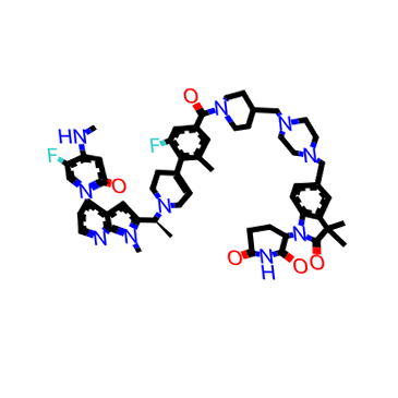 CNc1cc(=O)n(-c2ccnc3c2cc([C@H](C)N2CC=C(c4c(C)cc(C(=O)N5CCC(CN6CCN(Cc7ccc8c(c7)C(C)(C)C(=O)N8C7CCC(=O)NC7=O)CC6)CC5)cc4F)CC2)n3C)cc1F